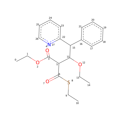 CCOC(=O)C(C(=O)SCC)C(OCC)C(c1ccccc1)c1ccccn1